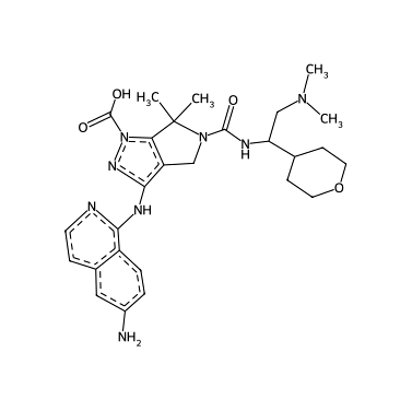 CN(C)CC(NC(=O)N1Cc2c(Nc3nccc4cc(N)ccc34)nn(C(=O)O)c2C1(C)C)C1CCOCC1